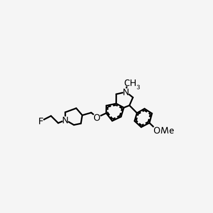 COc1ccc(C2CN(C)Cc3cc(OCC4CCN(CCF)CC4)ccc32)cc1